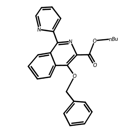 CCCCOC(=O)c1nc(-c2ccccn2)c2ccccc2c1OCc1ccccc1